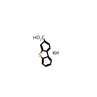 O=C(O)c1ccc2c(c1)sc1ccccc12.[KH]